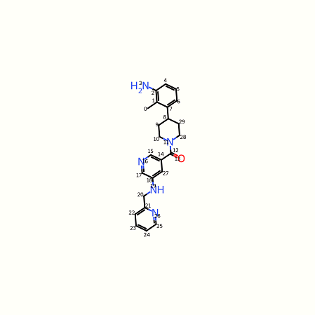 Cc1c(N)cccc1C1CCN(C(=O)c2cncc(NCc3ccccn3)c2)CC1